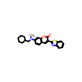 CN(CC1CCCCC1)c1ccc2cc(-c3nc4ccccc4s3)c(=O)oc2c1